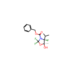 CC(C)[C@@]1(F)N(C(=O)OCc2ccccc2)C(F)(F)O[C@]1(C)O